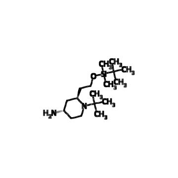 CC(C)(C)N1CC[C@H](N)C[C@H]1CCO[Si](C)(C)C(C)(C)C